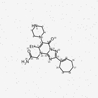 CCc1c(N2CCNCC2)c(=O)n2nc(C3=CCCCCC3)nc2n1CC(N)=O